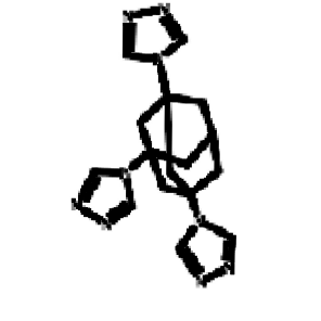 c1nncn1C12CC3CC(n4cnnc4)(C1)CC(n1cnnc1)(C3)C2